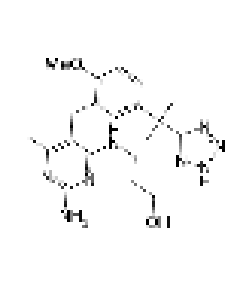 COc1ccc(C(C)(C)c2nn[nH]n2)cc1Cc1c(C)nc(N)nc1NCCCO